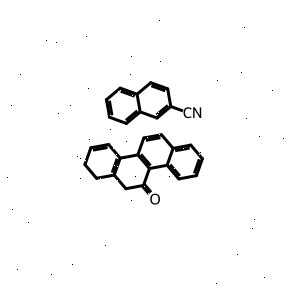 N#Cc1ccc2ccccc2c1.O=C1CC2=C(C=CCC2)c2ccc3ccccc3c21